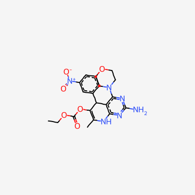 CCOC(=O)OC1=C(C)Nc2nc(N)nc(N3CCOCC3)c2C1c1cccc([N+](=O)[O-])c1